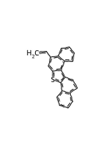 C=Cc1cc2sc3c4ccccc4ccc3c2c2ccccc12